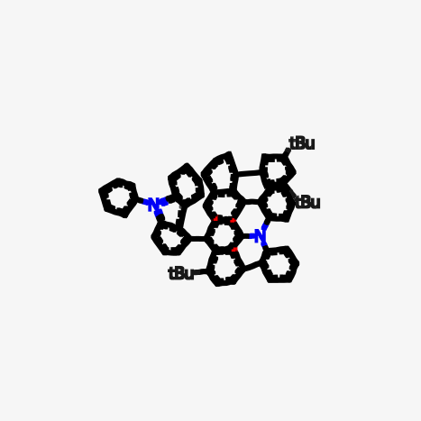 CC(C)(C)c1ccc(-c2ccccc2N(c2ccc(-c3cccc4c3c3ccccc3n4-c3ccccc3)cc2)c2ccccc2-c2cccc3cccc(-c4cc(C(C)(C)C)cc(C(C)(C)C)c4)c23)cc1